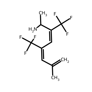 C=C(C)/C=C(\C=C(/C(C)N)C(F)(F)F)C(F)(F)F